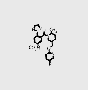 CC1CCC(COc2ccc(F)cn2)CN1C(=O)c1cc(C(=O)O)ccc1-n1nccn1